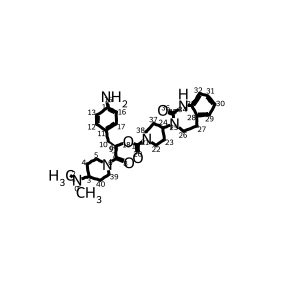 CN(C)C1CCN(C(=O)[C@@H](Cc2ccc(N)cc2)OC(=O)N2CCC(N3CCc4ccccc4NC3=O)CC2)CC1